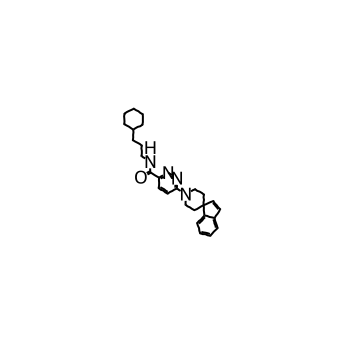 O=C(NCCCC1CCCCC1)c1ccc(N2CCC3(C=Cc4ccccc43)CC2)nn1